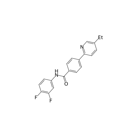 CCc1ccc(-c2ccc(C(=O)Nc3ccc(F)c(F)c3)cc2)nc1